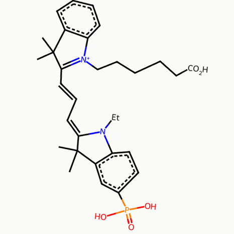 CCN1/C(=C\C=C\C2=[N+](CCCCCC(=O)O)c3ccccc3C2(C)C)C(C)(C)c2cc(P(=O)(O)O)ccc21